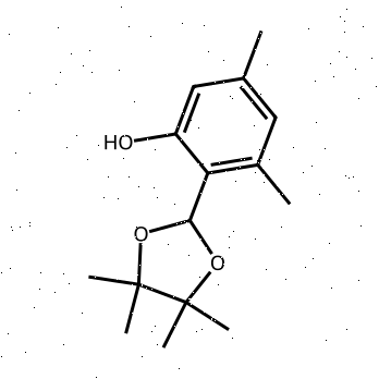 Cc1cc(C)c(C2OC(C)(C)C(C)(C)O2)c(O)c1